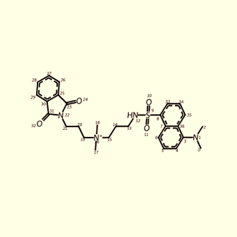 CN(C)c1cccc2c(S(=O)(=O)NCCC[N+](C)(C)CCCN3C(=O)c4ccccc4C3=O)cccc12